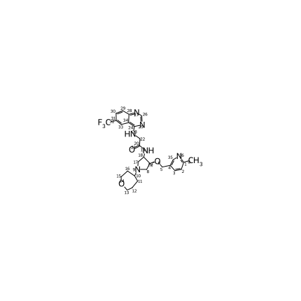 Cc1ccc(CO[C@H]2CN(C3CCCOCC3)CC2NC(=O)CNc2ncnc3ccc(C(F)(F)F)cc23)cn1